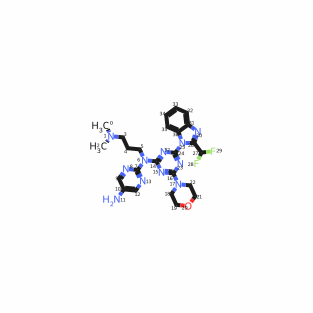 CN(C)CCCN(c1ncc(N)cn1)c1nc(N2CCOCC2)nc(-n2c(C(F)F)nc3ccccc32)n1